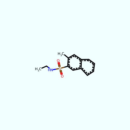 CCNS(=O)(=O)c1cc2ccccc2cc1C